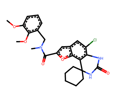 COc1cccc(CN(C)C(=O)c2cc3cc(Cl)c4c(c3o2)C2(CCCCC2)NC(=O)N4)c1OC